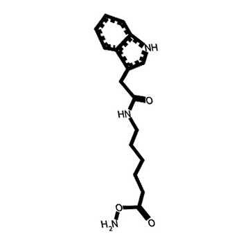 NOC(=O)CCCCCNC(=O)Cc1c[nH]c2ccccc12